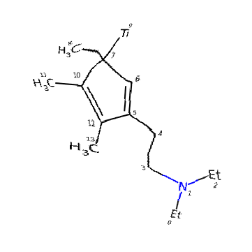 CCN(CC)CCC1=C[C](C)([Ti])C(C)=C1C